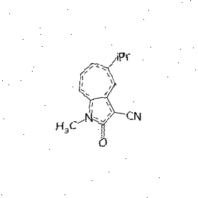 CC(C)c1cccc2n(C)c(=O)c(C#N)c-2c1